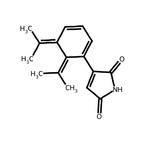 CC(C)=c1cccc(C2=CC(=O)NC2=O)c1=C(C)C